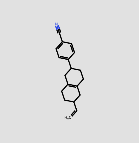 C=CC1CCC2=C(CCC(c3ccc(C#N)cc3)C2)C1